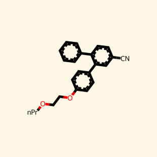 CCCOCCOc1ccc(-c2cc(C#N)ccc2-c2ccccc2)cc1